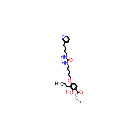 CCCc1c(OCCCCCNC(=O)NCCCCc2cccnc2)ccc(C(C)=O)c1O